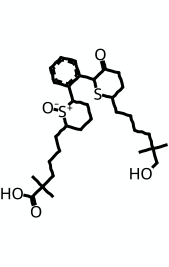 CC(C)(CO)CCCCC1CCC(=O)C(c2ccccc2C2CCCC(CCCCC(C)(C)C(=O)O)[S+]2[O-])S1